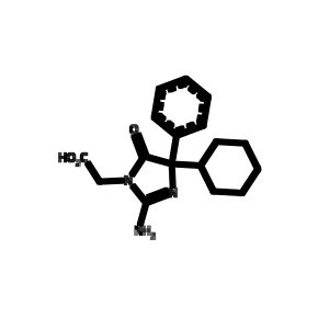 NC1=NC(c2ccccc2)(C2CCCCC2)C(=O)N1CC(=O)O